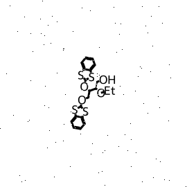 CCO[C@H](CO)C(COC1Sc2ccccc2S1)OC1Sc2ccccc2S1